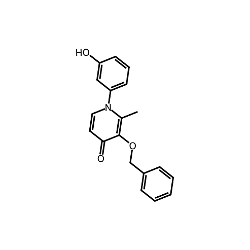 Cc1c(OCc2ccccc2)c(=O)ccn1-c1cccc(O)c1